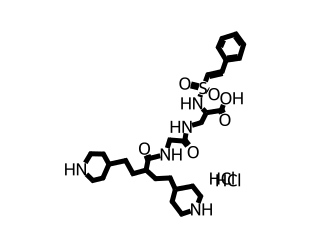 Cl.Cl.O=C(CNC(=O)C(CCC1CCNCC1)CCC1CCNCC1)NCC(NS(=O)(=O)C=Cc1ccccc1)C(=O)O